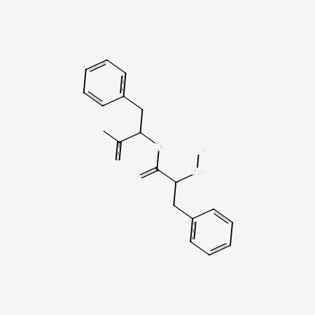 CCNC(Cc1ccccc1)C(=O)NC(Cc1ccccc1)C(=O)C(C)C